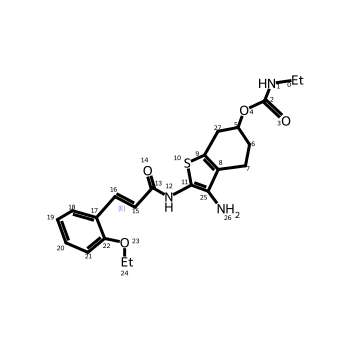 CCNC(=O)OC1CCc2c(sc(NC(=O)/C=C/c3ccccc3OCC)c2N)C1